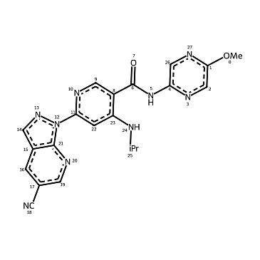 COc1cnc(NC(=O)c2cnc(-n3ncc4cc(C#N)cnc43)cc2NC(C)C)cn1